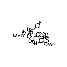 COC(=O)c1cc(CN2CC(Oc3ccc(NS(=O)(=O)CCc4ccc(F)cc4)c(C(=O)OC)c3)C2)ccc1NS(=O)(=O)CCc1ccc(F)cc1